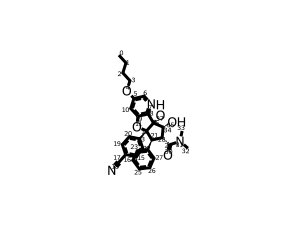 CCCCOc1cnc2c(c1)O[C@@]1(c3ccc(C#N)cc3)[C@H](c3ccccc3)[C@@H](C(=O)N(C)C)[C@@H](O)[C@@]21O